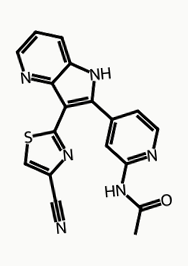 CC(=O)Nc1cc(-c2[nH]c3cccnc3c2-c2nc(C#N)cs2)ccn1